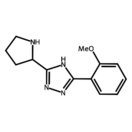 COc1ccccc1-c1nnc(C2CCCN2)[nH]1